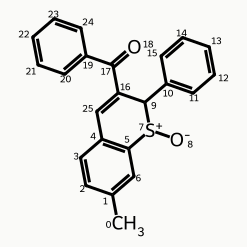 Cc1ccc2c(c1)[S+]([O-])C(c1ccccc1)C(C(=O)c1ccccc1)=C2